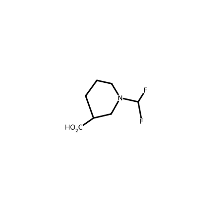 O=C(O)C1CCCN(C(F)F)C1